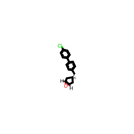 Clc1ccc(-c2ccc(C[C@@H]3C[C@@H]4O[C@@H]4C3)cc2)cc1